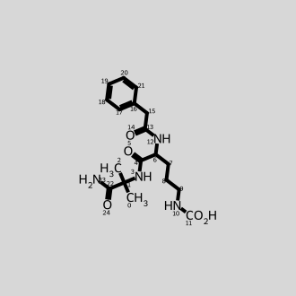 CC(C)(NC(=O)C(CCCNC(=O)O)NC(=O)Cc1ccccc1)C(N)=O